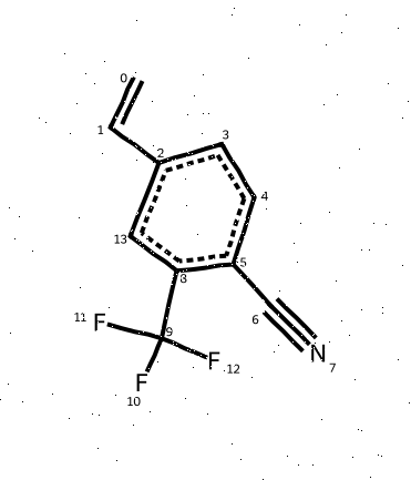 C=Cc1ccc(C#N)c(C(F)(F)F)c1